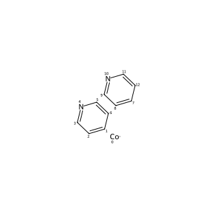 [Co].c1ccncc1.c1ccncc1